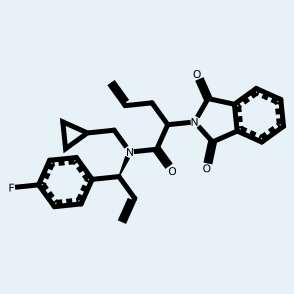 C=CCC(C(=O)N(CC1CC1)[C@@H](C=C)c1ccc(F)cc1)N1C(=O)c2ccccc2C1=O